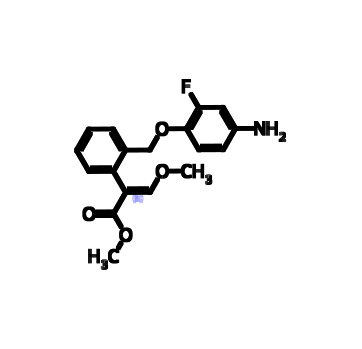 CO/C=C(/C(=O)OC)c1ccccc1COc1ccc(N)cc1F